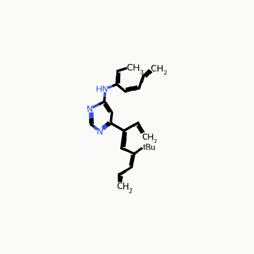 C=C/C=C\C(=C/C)Nc1cc(/C(C=C)=C/C(=C\C=C)C(C)(C)C)ncn1